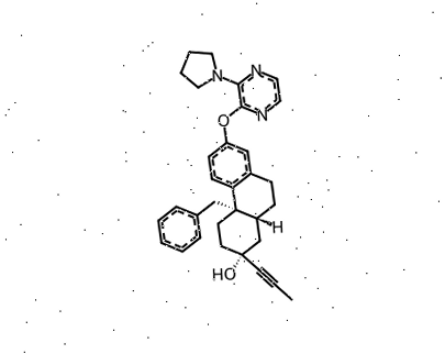 CC#C[C@@]1(O)CC[C@@]2(Cc3ccccc3)c3ccc(Oc4nccnc4N4CCCC4)cc3CC[C@@H]2C1